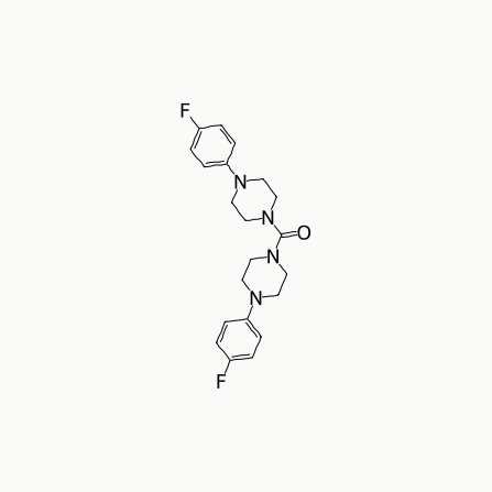 O=C(N1CCN(c2ccc(F)cc2)CC1)N1CCN(c2ccc(F)cc2)CC1